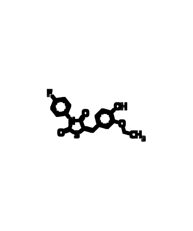 CCOc1cc(C=C2SC(=O)N(c3ccc(F)cc3)C2=O)ccc1O